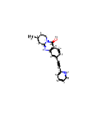 CC1CCn2c(nc3cc(C#Cc4ccccn4)ccc3c2=O)C1